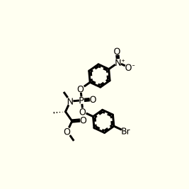 COC(=O)[C@H](C)N(C)P(=O)(Oc1ccc(Br)cc1)Oc1ccc([N+](=O)[O-])cc1